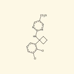 CCOC(=O)c1cnc(NC2(c3cccc(Cl)c3Cl)CCC2)nc1